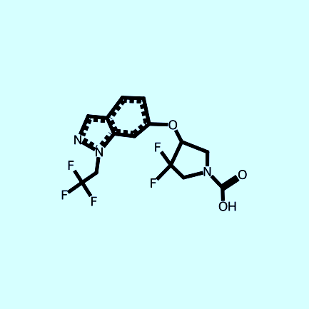 O=C(O)N1CC(Oc2ccc3cnn(CC(F)(F)F)c3c2)C(F)(F)C1